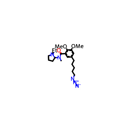 CCN1CCCC1N(C)C(=O)c1cc(CCCCCN=[N+]=[N-])cc(OC)c1OC